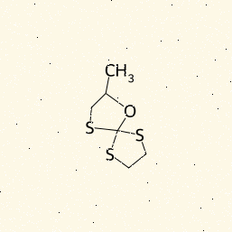 CC1CSC2(O1)SCCS2